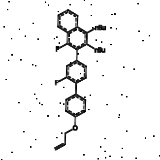 C=CCOc1ccc(-c2ccc(-c3c(CCCC)c(CCCC)c4ccccc4c3F)cc2F)cc1